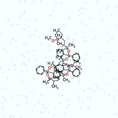 CCC(CC[Si](C)(C)O[Si](O[Si](C)(C)CC[Si](C)(C)O[Si](O[Si](C)(C)C(C)CC[Si](C)(C)O[Si](O[SiH](C)C)(c1ccccc1)c1ccccc1)(c1ccccc1)c1ccccc1)(c1ccccc1)c1ccccc1)[Si](C)(C)OC